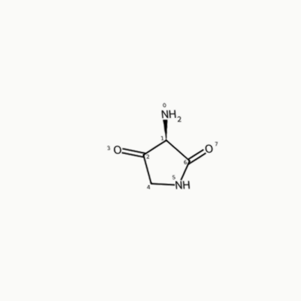 N[C@@H]1C(=O)CNC1=O